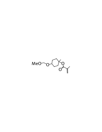 C=C(C)C(=O)OC1(C)CCC(OCOC)CC1